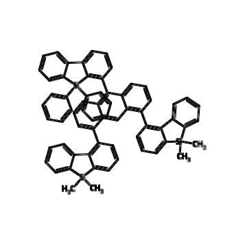 C[Si]1(C)c2ccccc2-c2c(-c3cccc4c(-c5cccc6c5[Si](c5ccccc5)(c5ccccc5)c5ccccc5-6)c5cccc(-c6cccc7c6-c6ccccc6[Si]7(C)C)c5cc34)cccc21